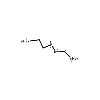 CCCCCCCCPPCCCCCCC